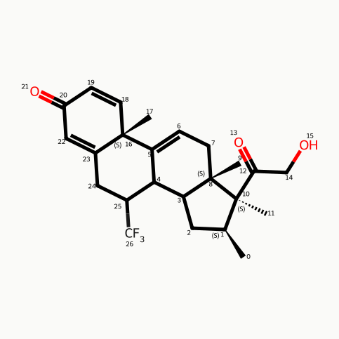 C[C@H]1CC2C3C(=CC[C@]2(C)[C@@]1(C)C(=O)CO)[C@@]1(C)C=CC(=O)C=C1CC3C(F)(F)F